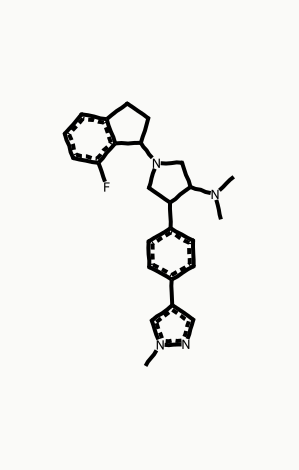 CN(C)C1CN(C2CCc3cccc(F)c32)CC1c1ccc(-c2cnn(C)c2)cc1